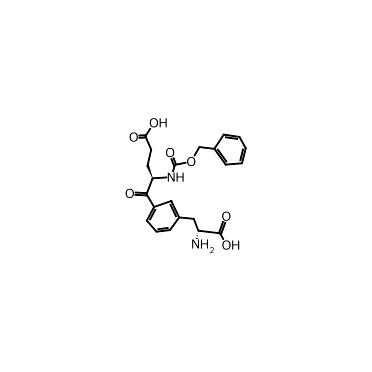 N[C@H](Cc1cccc(C(=O)[C@@H](CCC(=O)O)NC(=O)OCc2ccccc2)c1)C(=O)O